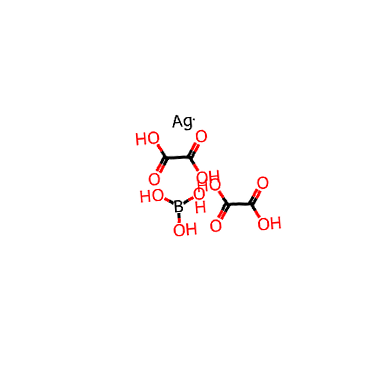 O=C(O)C(=O)O.O=C(O)C(=O)O.OB(O)O.[Ag]